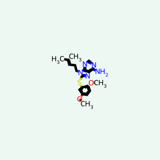 COc1ccc(OC)c(Sc2nc3c(N)ncnc3n2CCC=C(C)C)c1